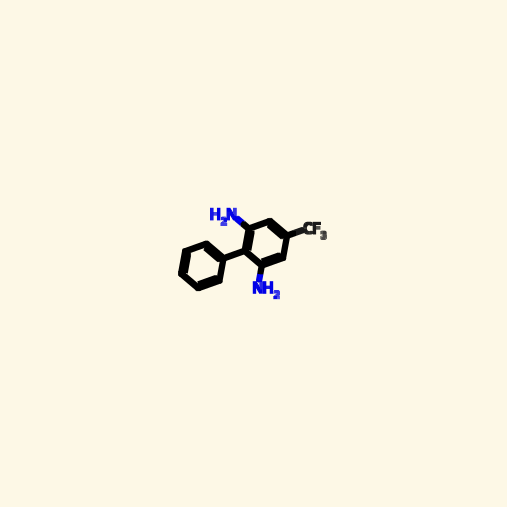 Nc1cc(C(F)(F)F)cc(N)c1-c1ccccc1